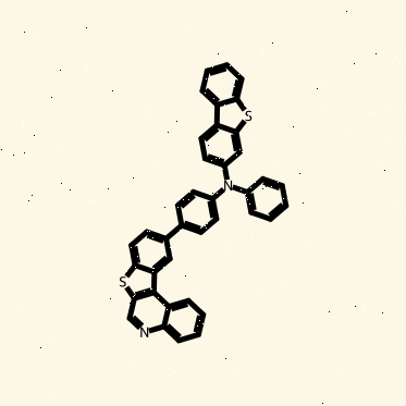 c1ccc(N(c2ccc(-c3ccc4sc5cnc6ccccc6c5c4c3)cc2)c2ccc3c(c2)sc2ccccc23)cc1